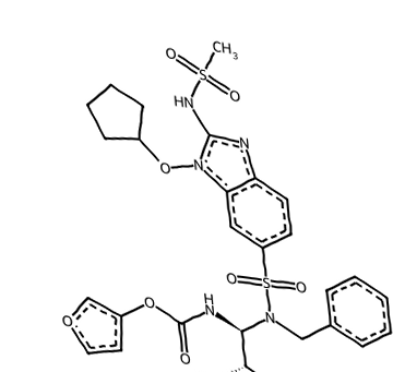 C[C@@H](O)[C@@H](NC(=O)Oc1ccoc1)N(Cc1ccccc1)S(=O)(=O)c1ccc2nc(NS(C)(=O)=O)n(OC3CCCC3)c2c1